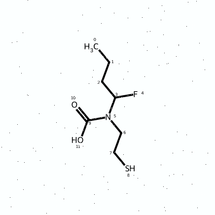 CCCC(F)N(CCS)C(=O)O